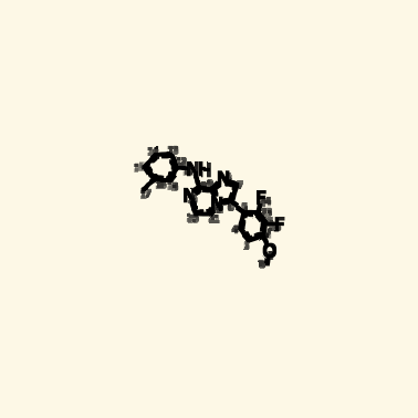 COc1ccc(-c2cnc3c(Nc4cccc(C)c4)nccn23)c(F)c1F